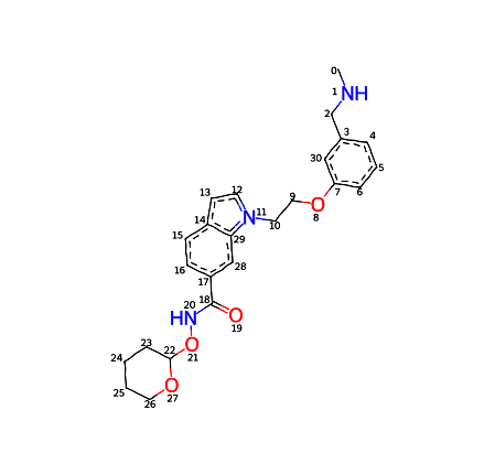 CNCc1cccc(OCCn2ccc3ccc(C(=O)NOC4CCCCO4)cc32)c1